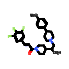 COc1ccc(C2CCN(CC(C(=O)O)C3CCN(C(=O)/C=C/c4cc(F)c(F)c(F)c4)CC3)CC2)cc1